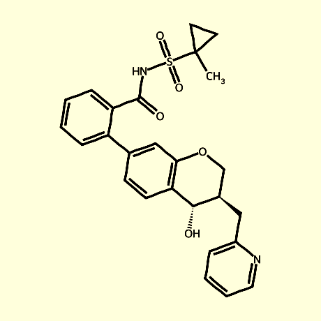 CC1(S(=O)(=O)NC(=O)c2ccccc2-c2ccc3c(c2)OC[C@@H](Cc2ccccn2)[C@@H]3O)CC1